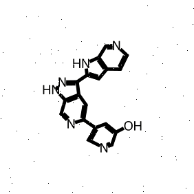 Oc1cncc(-c2cc3c(-c4cc5ccncc5[nH]4)n[nH]c3cn2)c1